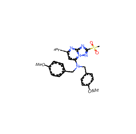 COc1ccc(CN(Cc2ccc(OC)cc2)c2cc(C(C)C)nc3nc(S(C)(=O)=O)nn23)cc1